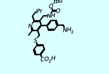 Cc1nc(CC(C)C)c(CNC(=O)OC(C)(C)C)c(-c2ccc(CN)cc2)c1CSc1ccc(C(=O)O)cc1